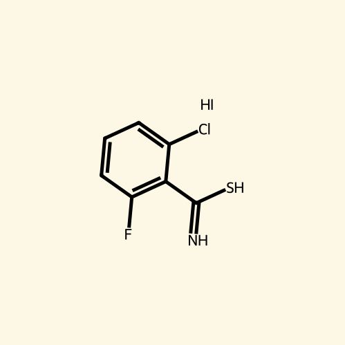 I.N=C(S)c1c(F)cccc1Cl